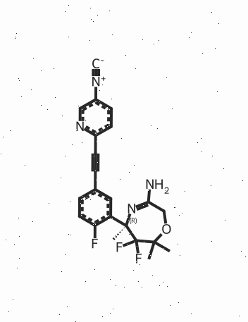 [C-]#[N+]c1ccc(C#Cc2ccc(F)c([C@@]3(C)N=C(N)COC(C)(C)C3(F)F)c2)nc1